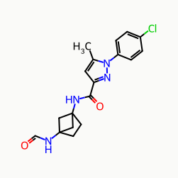 Cc1cc(C(=O)NC23CCC(NC=O)(C2)C3)nn1-c1ccc(Cl)cc1